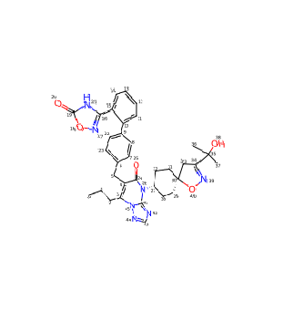 CCCc1c(Cc2ccc(-c3ccccc3-c3noc(=O)[nH]3)cc2)c(=O)n([C@H]2CC[C@]3(CC2)CC(C(C)(C)O)=NO3)c2ncnn12